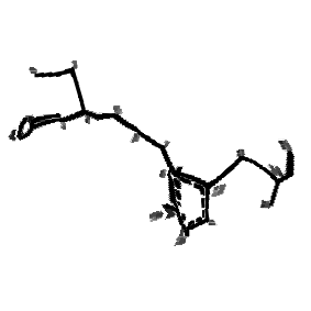 CCC(C=O)CCCn1nncc1CC(C)C